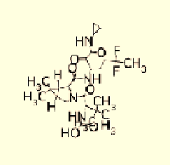 CC(F)(F)CC[C@H](NC(=O)[C@@H]1[C@@H]2[C@H](CN1C(=O)[C@@H](NC(=O)O)C(C)(C)C)C2(C)C)C(=O)C(=O)NC1CC1